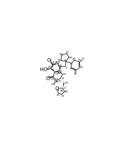 CC1=CC(C2(Cc3nc(=O)c(O)c4n3C[C@H](C[C@H]3CCCO3)N(C)C4=O)CCCC2)CC(C)=C1